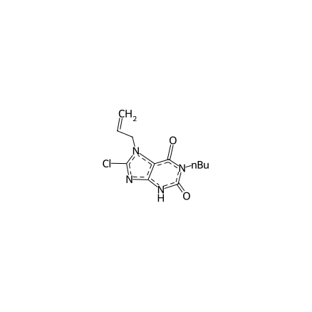 C=CCn1c(Cl)nc2[nH]c(=O)n(CCCC)c(=O)c21